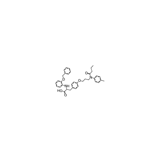 CCCC(=O)N(CCCOc1ccc(CC(Nc2ccccc2OCc2ccccc2)C(=O)O)cc1)c1ccc(C)cc1